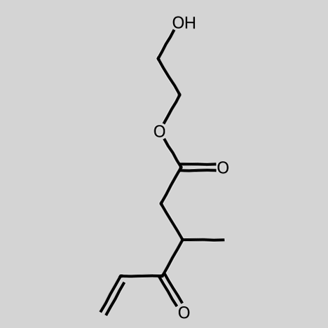 C=CC(=O)C(C)CC(=O)OCCO